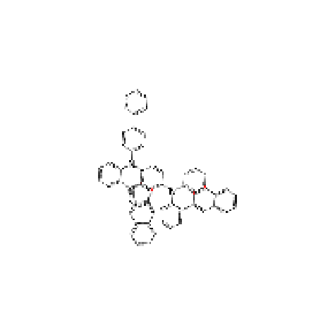 c1ccc(-c2ccc(N(c3ccccc3-c3ccccc3)c3ccc(N(c4ccccc4)c4ccccc4-c4ccc5ccccc5c4)c4c3oc3cc5ccccc5cc34)cc2)cc1